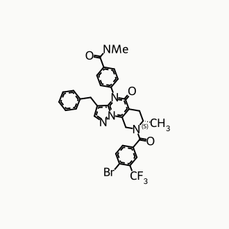 CNC(=O)c1ccc(-n2c(=O)c3c(n4ncc(Cc5ccccc5)c24)CN(C(=O)c2ccc(Br)c(C(F)(F)F)c2)[C@@H](C)C3)cc1